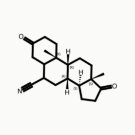 C[C@]12CCC(=O)CC1C(C#N)C[C@@H]1[C@H]2CC[C@]2(C)C(=O)CC[C@@H]12